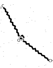 CCCCCCCCCCCCCCCCCCN1CCN(CCCCCCCCCCCCCCCCCC)C1=O